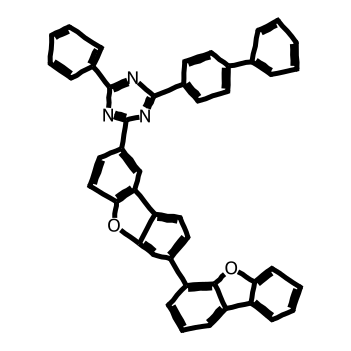 c1ccc(-c2ccc(-c3nc(-c4ccccc4)nc(-c4ccc5oc6cc(-c7cccc8c7oc7ccccc78)ccc6c5c4)n3)cc2)cc1